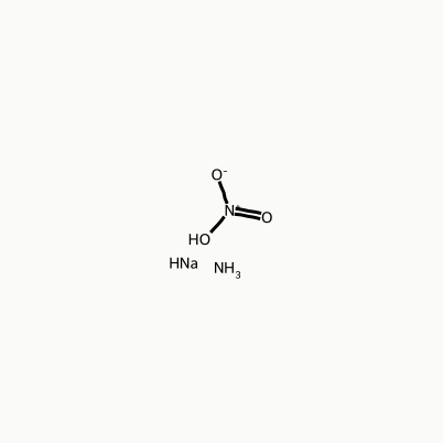 N.O=[N+]([O-])O.[NaH]